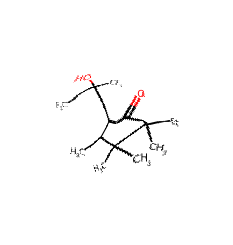 CCC1(C)C(=O)C(C(O)(C(F)(F)F)C(F)(F)F)C(C)C1(C)C